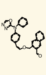 O=Cc1cc2ccccc2cc1CO/C=C\c1ccc(N(c2ccccc2)c2nnco2)cc1